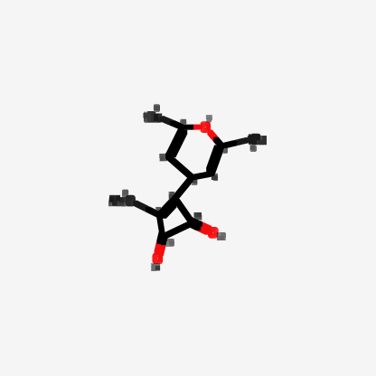 COc1c(C2C=C(C(C)(C)C)OC(C(C)(C)C)=C2)c(=O)c1=O